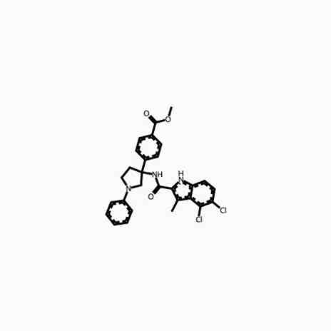 COC(=O)c1ccc(C2(NC(=O)c3[nH]c4ccc(Cl)c(Cl)c4c3C)CCN(c3ccccc3)C2)cc1